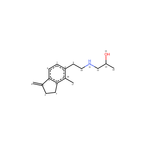 C=C1CCc2c1ccc(CCNCC(C)O)c2C